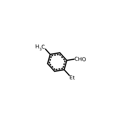 CCc1ccc(C)cc1C=O